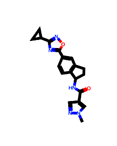 Cn1cc(C(=O)NC2CCc3cc(-c4nc(C5CC5)no4)ccc32)cn1